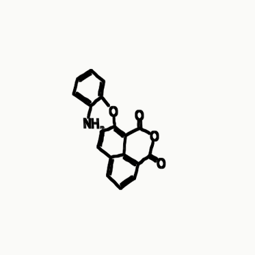 Nc1ccccc1Oc1ccc2cccc3c2c1C(=O)OC3=O